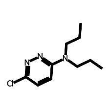 CCCN(CCC)c1ccc(Cl)nn1